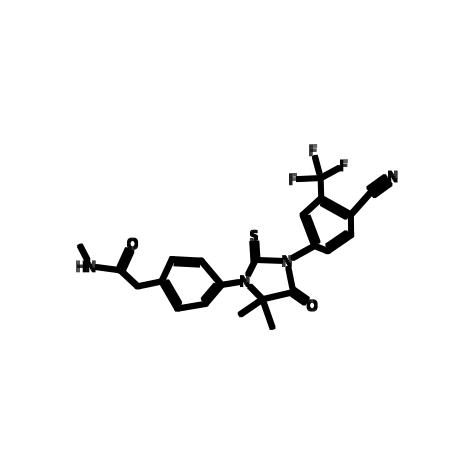 CNC(=O)Cc1ccc(N2C(=S)N(c3ccc(C#N)c(C(F)(F)F)c3)C(=O)C2(C)C)cc1